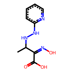 CC(NNc1ccccn1)C(=NO)C(=O)O